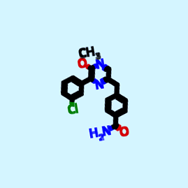 COc1ncc(Cc2ccc(C(N)=O)cc2)nc1-c1cccc(Cl)c1